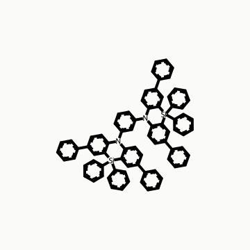 c1ccc(-c2ccc3c(c2)[Si](c2ccccc2)(c2ccccc2)c2cc(-c4ccccc4)ccc2N3c2cccc(N3c4ccc(-c5ccccc5)cc4[Si](c4ccccc4)(c4ccccc4)c4cc(-c5ccccc5)ccc43)c2)cc1